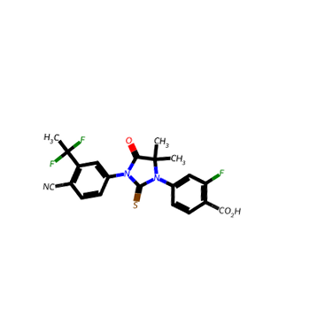 CC(F)(F)c1cc(N2C(=O)C(C)(C)N(c3ccc(C(=O)O)c(F)c3)C2=S)ccc1C#N